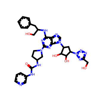 O=C(Nc1cccnc1)NC1CCN(c2nc(NC(CO)Cc3ccccc3)c3ncn(C4CC(n5nnc(CO)n5)C(O)C4O)c3n2)C1